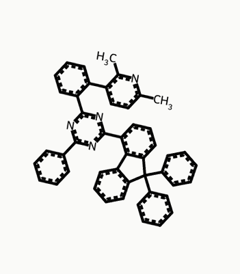 Cc1ccc(-c2ccccc2-c2nc(-c3ccccc3)nc(-c3cccc4c3-c3ccccc3C4(c3ccccc3)c3ccccc3)n2)c(C)n1